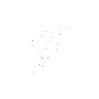 CCOC(=O)c1cn(C2CC2)c2c(OC(F)F)c(OS(=O)(=O)C(F)(F)F)c(F)cc2c1=O